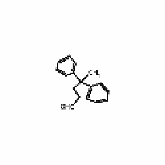 CC(CCC=O)(c1ccccc1)c1ccccc1